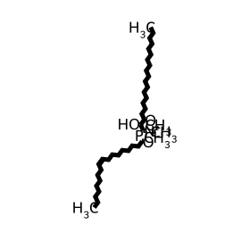 CCCCCCCC/C=C\CCCCCCCC(=O)[P-]C(C(O)C(=O)CCCCCCCCCCCCCCCCC)[N+](C)(C)C